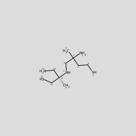 CC(N)(CCS)CN[C@](C)(CN)CS